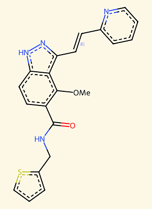 COc1c(C(=O)NCc2cccs2)ccc2[nH]nc(/C=C/c3ccccn3)c12